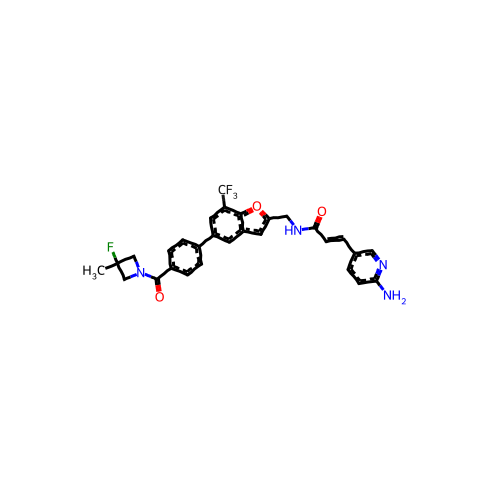 CC1(F)CN(C(=O)c2ccc(-c3cc(C(F)(F)F)c4oc(CNC(=O)C=Cc5ccc(N)nc5)cc4c3)cc2)C1